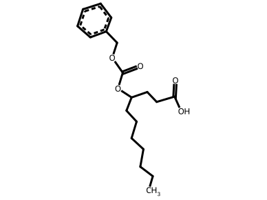 CCCCCCCC(CCC(=O)O)OC(=O)OCc1ccccc1